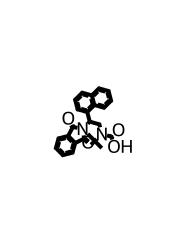 CC(C)(C)N(CC(c1cccc2ccccc12)N1C(=O)c2ccccc2C1=O)C(=O)O